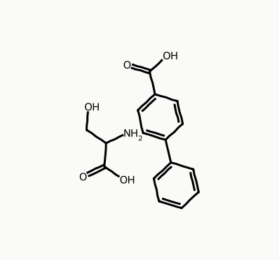 NC(CO)C(=O)O.O=C(O)c1ccc(-c2ccccc2)cc1